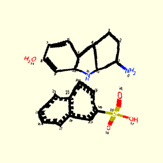 NC1CCC2C3C=CC=CC3NC12.O.O=S(=O)(O)c1ccc2ccccc2c1